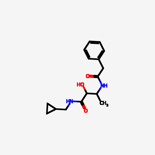 CC(NC(=O)Cc1ccccc1)C(O)C(=O)NCC1CC1